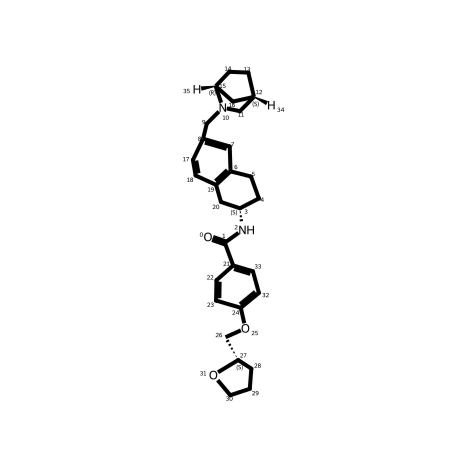 O=C(N[C@H]1CCc2cc(CN3C[C@H]4CC[C@@H]3C4)ccc2C1)c1ccc(OC[C@@H]2CCCO2)cc1